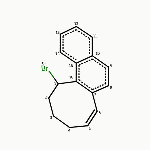 BrC1CCC/C=C\c2ccc3ccccc3c21